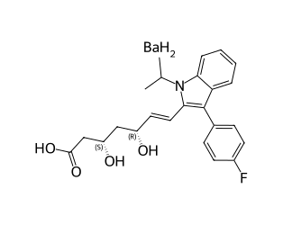 CC(C)n1c(C=C[C@H](O)C[C@H](O)CC(=O)O)c(-c2ccc(F)cc2)c2ccccc21.[BaH2]